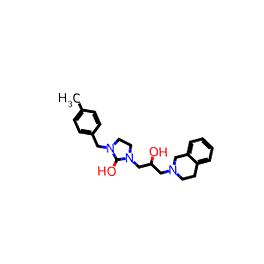 Cc1ccc(CN2CCN(CC(O)CN3CCc4ccccc4C3)C2O)cc1